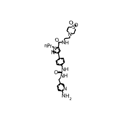 CCCn1nc(-c2ccc(NC(=O)NCc3ccc(N)nc3)cc2)cc1C(=O)NCCN1CCS(=O)(=O)CC1